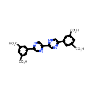 O=C(O)c1cc(C(=O)O)cc(-c2cnc(-c3cnc(-c4cc(C(=O)O)cc(C(=O)O)c4)cn3)cn2)c1